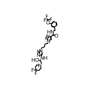 O=C(NCc1cccc(OC(F)(F)F)c1)c1cn(CCCCn2cc(NC(O)CN3CCC(F)(F)CC3)nn2)nn1